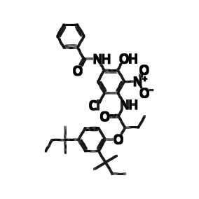 CCC(Oc1ccc(C(C)(C)CC)cc1C(C)(C)CC)C(=O)Nc1c(Cl)cc(NC(=O)c2ccccc2)c(O)c1[N+](=O)[O-]